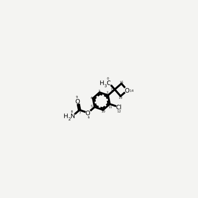 CC1(c2ccc(OC(N)=O)cc2Cl)COC1